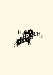 COc1cccc(OC)c1C(=O)N[C@H]1CC(F)C[C@@H]1Nc1nc2ccc(Cl)cc2s1